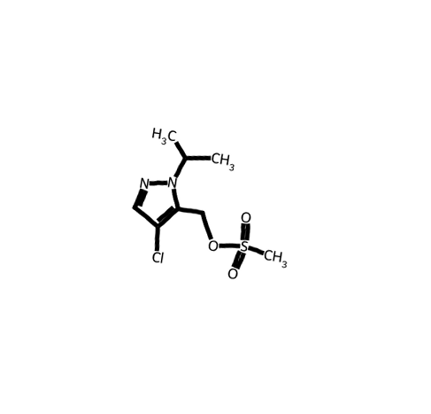 CC(C)n1ncc(Cl)c1COS(C)(=O)=O